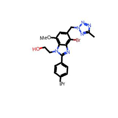 COc1cc(Cn2nnc(C)n2)c(Br)c2nc(-c3ccc(C(C)C)cc3)n(CCO)c12